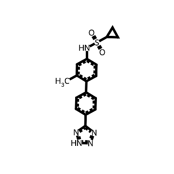 Cc1cc(NS(=O)(=O)C2CC2)ccc1-c1ccc(-c2nn[nH]n2)cc1